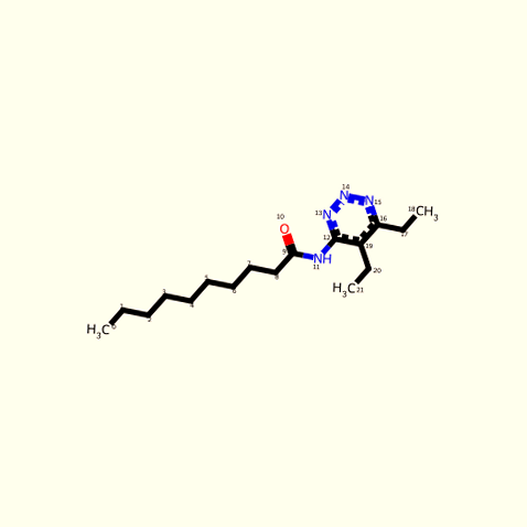 CCCCCCCCCC(=O)Nc1nnnc(CC)c1CC